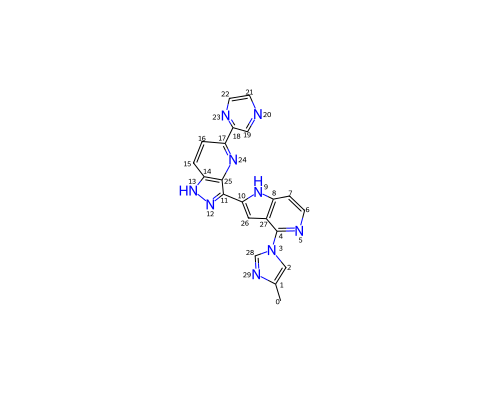 Cc1cn(-c2nccc3[nH]c(-c4n[nH]c5ccc(-c6cnccn6)nc45)cc23)cn1